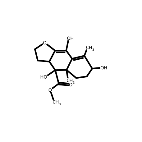 COC(=O)C1(O)C2CCOC2=C(O)C2=C(C)C(O)CCC21C